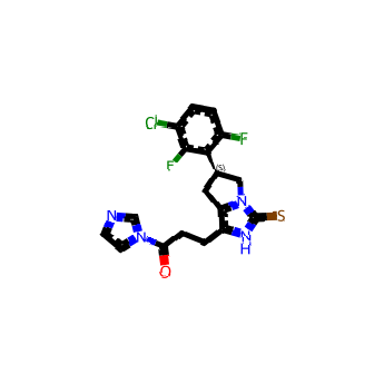 O=C(CCc1[nH]c(=S)n2c1C[C@@H](c1c(F)ccc(Cl)c1F)C2)n1ccnc1